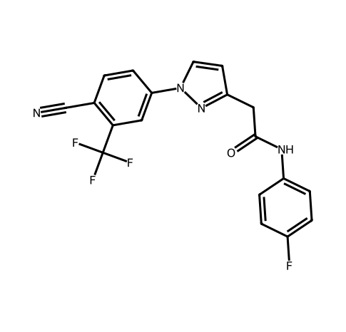 N#Cc1ccc(-n2ccc(CC(=O)Nc3ccc(F)cc3)n2)cc1C(F)(F)F